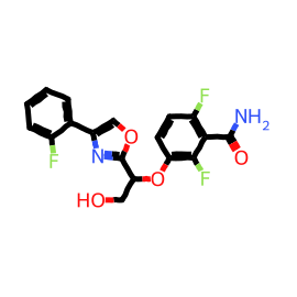 NC(=O)c1c(F)ccc(OC(CO)c2nc(-c3ccccc3F)co2)c1F